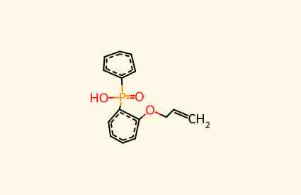 C=CCOc1ccccc1P(=O)(O)c1ccccc1